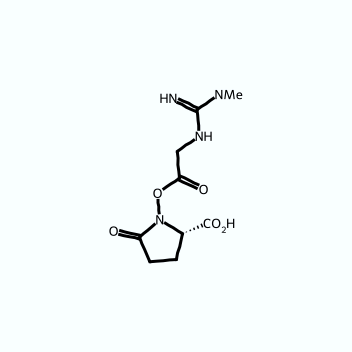 CNC(=N)NCC(=O)ON1C(=O)CC[C@H]1C(=O)O